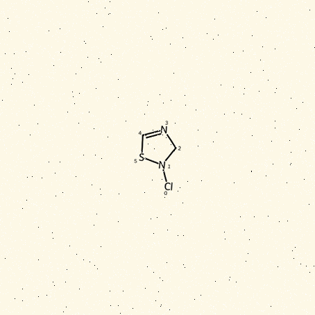 ClN1CN=[C]S1